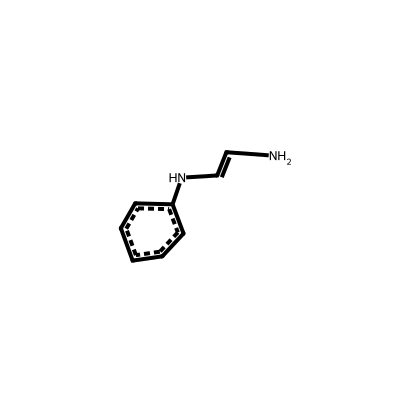 N/C=C/Nc1ccccc1